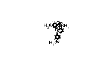 COc1ccc(CN2C=CC=C3C2=Nc2cc(C)ccc2S(=O)(=O)N3C)cc1